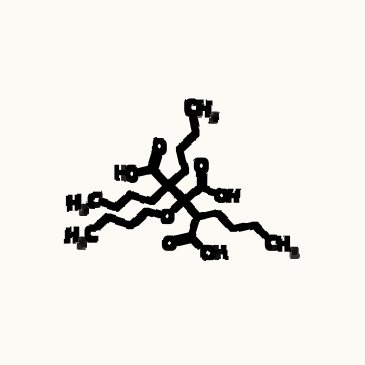 CCCCOC(C(=O)O)(C(CCCC)C(=O)O)C(CCCC)(CCCC)C(=O)O